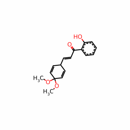 COC1(OC)C=CC(/C=C/C(=O)c2ccccc2O)C=C1